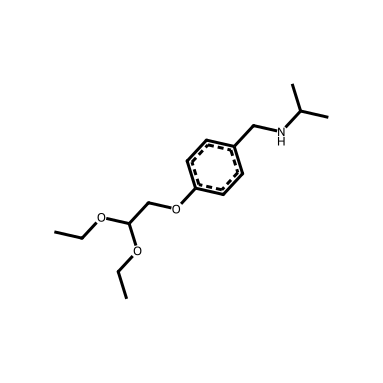 CCOC(COc1ccc(CNC(C)C)cc1)OCC